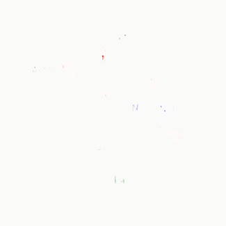 CC(=O)OOC[C@H]1O[C@@H](n2cc(C=C(Br)Br)c(=O)[nH]c2=O)C[C@@H]1OOC(C)=O